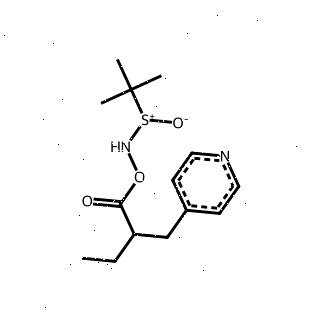 CCC(Cc1ccncc1)C(=O)ON[S+]([O-])C(C)(C)C